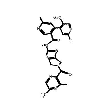 COc1cnc(Cl)cc1-c1cc(C)ncc1C(=O)Nc1nc2c(s1)CN(C(=O)c1ncc(C(F)(F)F)nc1C)C2